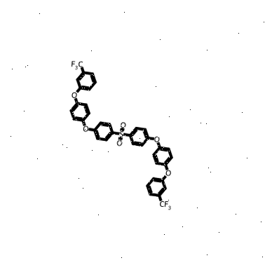 O=S(=O)(c1ccc(Oc2ccc(Oc3cccc(C(F)(F)F)c3)cc2)cc1)c1ccc(Oc2ccc(Oc3cccc(C(F)(F)F)c3)cc2)cc1